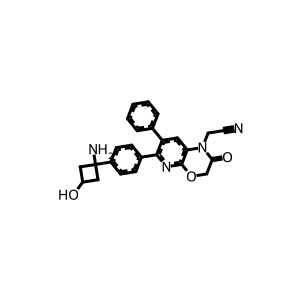 N#CCN1C(=O)COc2nc(-c3ccc(C4(N)CC(O)C4)cc3)c(-c3ccccc3)cc21